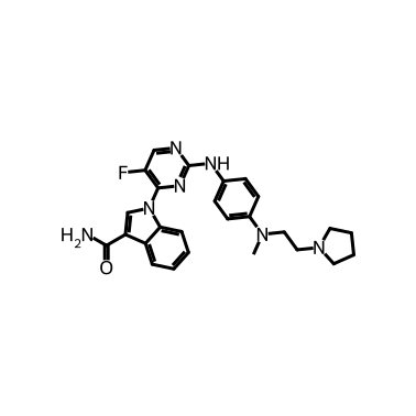 CN(CCN1CCCC1)c1ccc(Nc2ncc(F)c(-n3cc(C(N)=O)c4ccccc43)n2)cc1